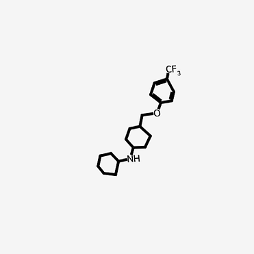 FC(F)(F)c1ccc(OCC2CCC(NC3CCCCC3)CC2)cc1